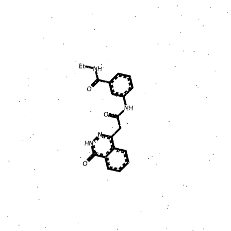 CCNC(=O)c1cccc(NC(=O)Cc2n[nH]c(=O)c3ccccc23)c1